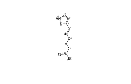 CCN(CC)CCON=Cc1cc[nH]c1